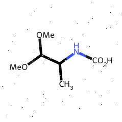 COC(OC)C(C)NC(=O)O